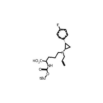 C=CCN(CCCC(NC(=O)OC(C)(C)C)C(=O)O)[C@@H]1C[C@H]1c1ccc(F)cc1